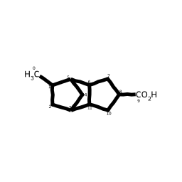 CC1CC2CC1C1CC(C(=O)O)CC21